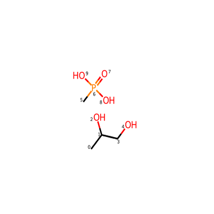 CC(O)CO.CP(=O)(O)O